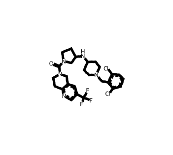 O=C(N1CCc2ncc(C(F)(F)F)cc2C1)N1CCC(NC2CCN(Cc3c(Cl)cccc3Cl)CC2)C1